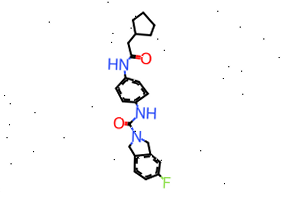 O=C(CC1CCCC1)Nc1ccc(NC(=O)N2Cc3ccc(F)cc3C2)cc1